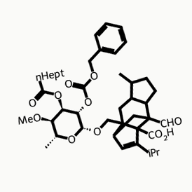 CCCCCCCC(=O)O[C@H]1[C@H](OC(=O)OCc2ccccc2)[C@H](OCC23CC4C(C)CCC4C4(C=O)CC2C=C(C(C)C)C43C(=O)O)O[C@H](C)[C@H]1OC